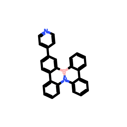 c1ccc2c(c1)B1c3cc(-c4ccncc4)ccc3-c3ccccc3N1c1ccccc1-2